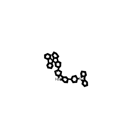 c1ccc2c(c1)-c1ccccc1C21c2ccccc2-c2ccc(-c3ccc4[nH]c5ccc(-c6ccc(-n7c8ccccc8c8ccccc87)cc6)cc5c4c3)cc21